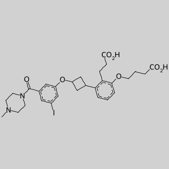 CN1CCN(C(=O)c2cc(I)cc(OC3CC(c4cccc(OCCCC(=O)O)c4CCC(=O)O)C3)c2)CC1